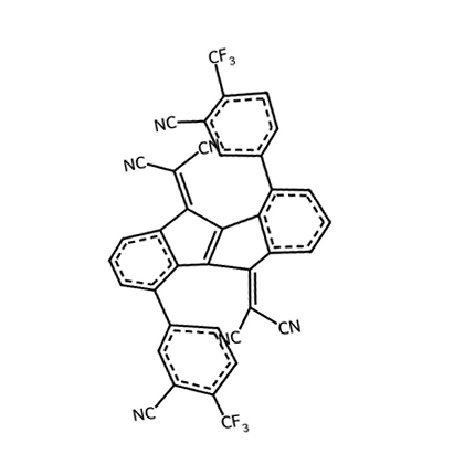 N#CC(C#N)=C1C2=C(C(=C(C#N)C#N)c3cccc(-c4ccc(C(F)(F)F)c(C#N)c4)c32)c2c1cccc2-c1ccc(C(F)(F)F)c(C#N)c1